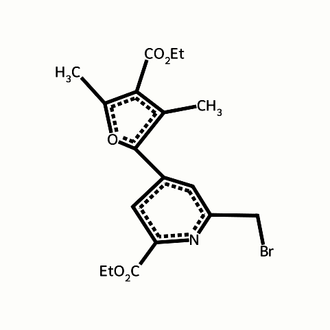 CCOC(=O)c1cc(-c2oc(C)c(C(=O)OCC)c2C)cc(CBr)n1